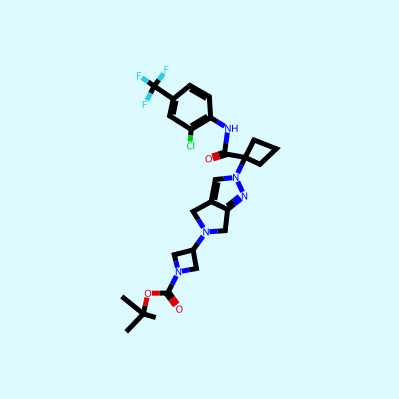 CC(C)(C)OC(=O)N1CC(N2Cc3cn(C4(C(=O)Nc5ccc(C(F)(F)F)cc5Cl)CCC4)nc3C2)C1